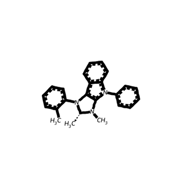 Cc1ccccc1N1c2c(n(-c3ccccc3)c3ccccc23)N(C)[C@@H]1C